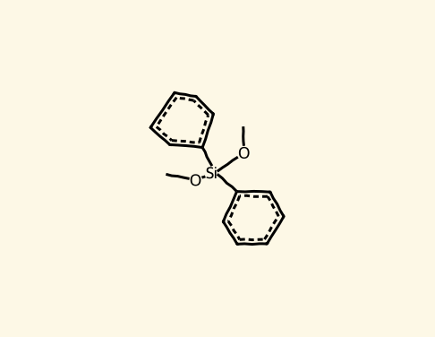 CO[Si](OC)(c1ccccc1)c1ccccc1